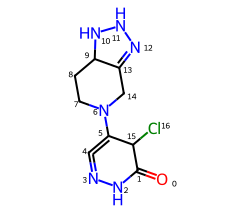 O=C1NN=C=C(N2CCC3NNN=C3C2)C1Cl